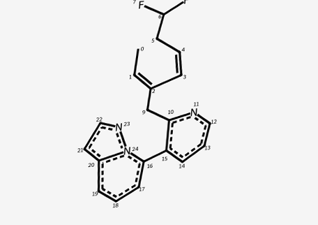 C/C=C(\C=C/CC(F)F)Cc1ncccc1-c1cccc2ccnn12